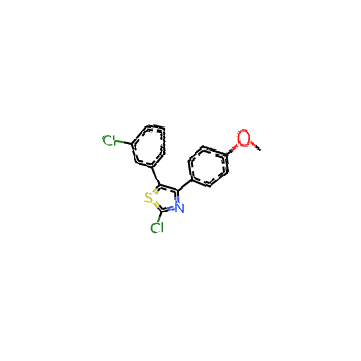 COc1ccc(-c2nc(Cl)sc2-c2cccc(Cl)c2)cc1